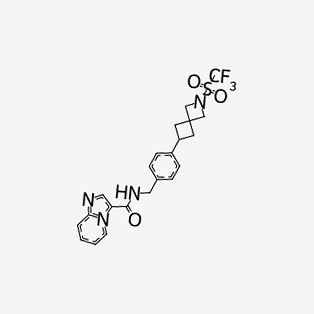 O=C(NCc1ccc(C2CC3(C2)CN(S(=O)(=O)C(F)(F)F)C3)cc1)c1cnc2ccccn12